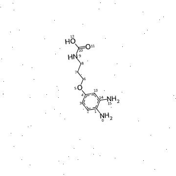 Nc1ccc(OCCCNC(=O)O)cc1N